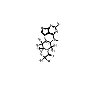 [2H]c1nc(N(C)[C@@H]2[C@H](C)C([2H])([2H])C([2H])([2H])N(C(=O)C([2H])([2H])[N+]#[C-])C2([2H])[2H])c2cc[nH]c2n1